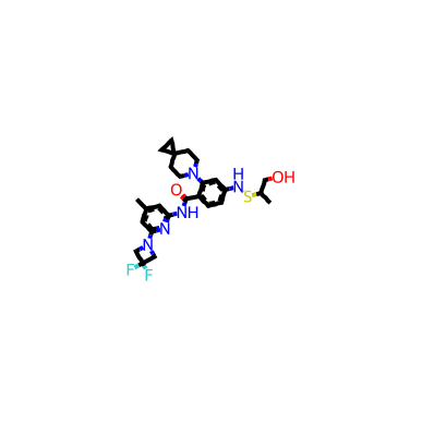 Cc1cc(NC(=O)c2ccc(NSC(C)CO)cc2N2CCC3(CC2)CC3)nc(N2CC(F)(F)C2)c1